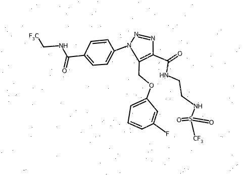 O=C(NCC(F)(F)F)c1ccc(-n2nnc(C(=O)NCCNS(=O)(=O)C(F)(F)F)c2COc2cccc(F)c2)cc1